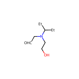 CCC(CC)N(CC=O)CCO